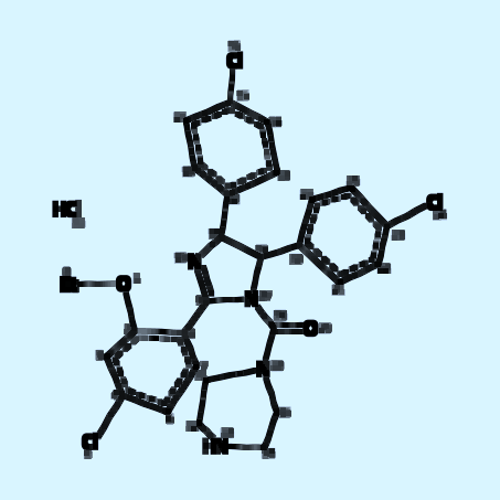 CCOc1cc(Cl)ccc1C1=NC(c2ccc(Cl)cc2)C(c2ccc(Cl)cc2)N1C(=O)N1CCNCC1.Cl